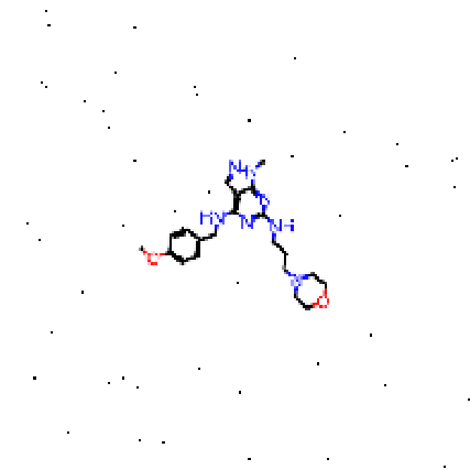 COc1ccc(CNc2nc(NCCCN3CCOCC3)nc3c2cnn3C)cc1